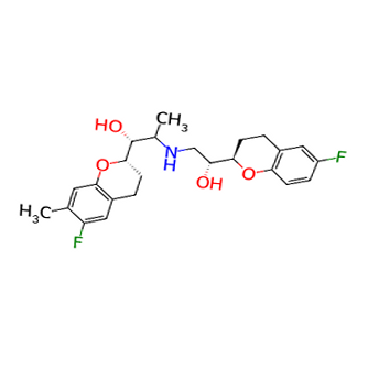 Cc1cc2c(cc1F)CC[C@@H]([C@H](O)C(C)NC[C@@H](O)[C@H]1CCc3cc(F)ccc3O1)O2